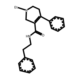 CCN1CCC(c2ccccc2)=C(C(=O)NCCc2ccccc2)C1